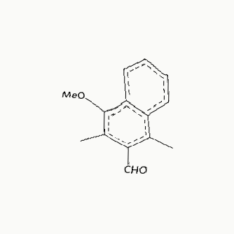 COc1c(C)c(C=O)c(C)c2ccccc12